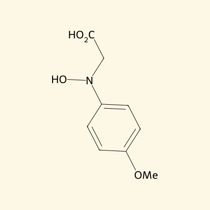 COc1ccc(N(O)CC(=O)O)cc1